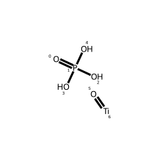 O=P(O)(O)O.[O]=[Ti]